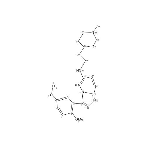 COc1ccc(OC(F)(F)F)cc1-c1cnc2ccc(NCCC3CCN(C)CC3)nn12